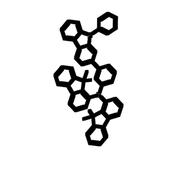 CC1(C)c2ccccc2-c2cccc(N(c3cccc(-c4ccc5c6ccccc6n(-c6ccccc6)c5c4)c3)c3cccc4c3C(C)(C)c3ccccc3-4)c21